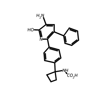 Nc1cc(-c2ccccc2)c(-c2ccc(C3(NC(=O)O)CCC3)cc2)nc1O